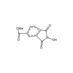 COC(=O)c1ccc2c(c1)C(=O)N(O)C2=O